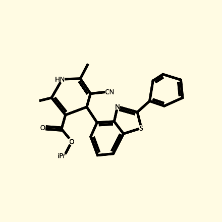 CC1=C(C#N)C(c2cccc3sc(-c4ccccc4)nc23)C(C(=O)OC(C)C)=C(C)N1